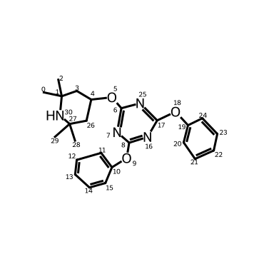 CC1(C)CC(Oc2nc(Oc3ccccc3)nc(Oc3ccccc3)n2)CC(C)(C)N1